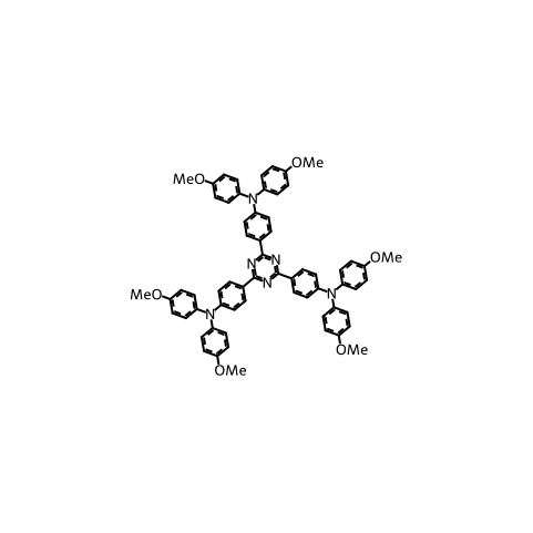 COc1ccc(N(c2ccc(OC)cc2)c2ccc(-c3nc(-c4ccc(N(c5ccc(OC)cc5)c5ccc(OC)cc5)cc4)nc(-c4ccc(N(c5ccc(OC)cc5)c5ccc(OC)cc5)cc4)n3)cc2)cc1